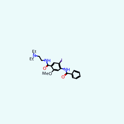 CCN(CC)CCNC(=O)c1cc(I)c(NC(=O)c2ccccc2)cc1OC